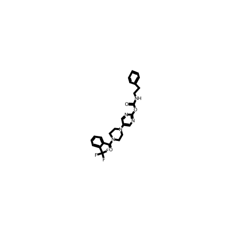 O=C(NCCc1ccccc1)Oc1ncc(N2CCN(C(=O)c3ccccc3C(F)(F)F)CC2)cn1